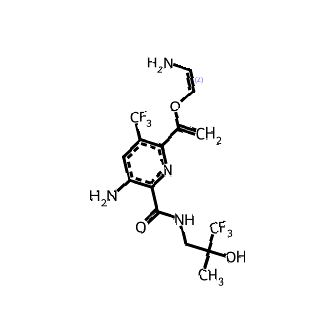 C=C(O/C=C\N)c1nc(C(=O)NCC(C)(O)C(F)(F)F)c(N)cc1C(F)(F)F